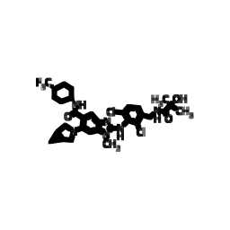 Cn1c(Nc2c(Cl)ccc(CNC(=O)C(C)(C)O)c2Cl)nc2cc(C(=O)N[C@H]3CC[C@H](C(F)(F)F)CC3)c(N3CC4CC4C3)cc21